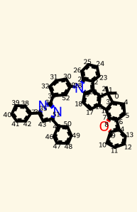 CC1(C)c2ccc3c(oc4ccccc43)c2-c2ccc3c(c21)c1ccccc1n3-c1cccc(-c2nc(-c3ccccc3)cc(-c3ccccc3)n2)c1